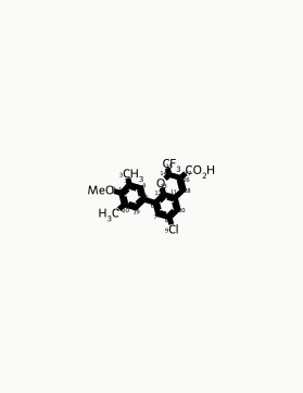 COc1c(C)cc(-c2cc(Cl)cc3c2OC(C(F)(F)F)C(C(=O)O)=C3)cc1C